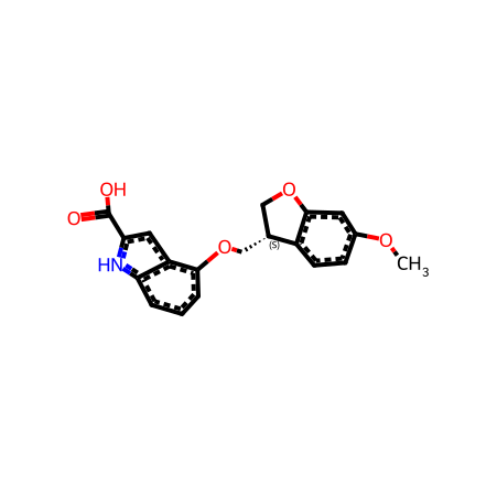 COc1ccc2c(c1)OC[C@H]2COc1cccc2[nH]c(C(=O)O)cc12